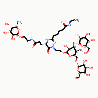 CCNC(=O)CCCCC(=O)N[C@@H](CCC(=O)NCCO[C@@H]1O[C@@H](C)[C@@H](O)[C@@H](O)[C@@H]1O)C(=O)NCCO[C@H]1O[C@H](CO[C@H]2O[C@H](CO)[C@@H](O)[C@H](O)[C@@H]2O)[C@@H](C)[C@H](O[C@H]2O[C@H](CO)[C@@H](O)[C@H](O)[C@@H]2O)[C@@H]1O